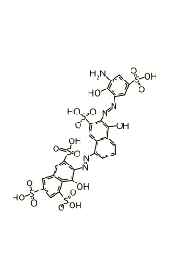 Nc1cc(S(=O)(=O)O)cc(N=Nc2c(S(=O)(=O)O)cc3c(N=Nc4c(S(=O)(=O)O)cc5cc(S(=O)(=O)O)cc(S(=O)(=O)O)c5c4O)cccc3c2O)c1O